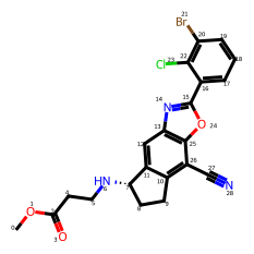 COC(=O)CCN[C@H]1CCc2c1cc1nc(-c3cccc(Br)c3Cl)oc1c2C#N